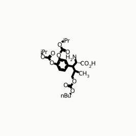 CCCCOC(=O)OCC(C)C(c1ccc(OC(=O)OC(C)C)c(OC(=O)OC(C)C)c1)[C@H](N)C(=O)O